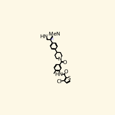 CN/C=C(\C=N)c1ccc(C2CCN(C(=O)c3ccc(C)c(NC(=O)c4sccc4Cl)c3)CC2)cc1